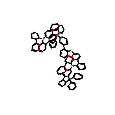 c1ccc(-c2ccccc2N(c2ccc3c(c2)C(c2ccccc2)(c2ccccc2)c2ccccc2-3)c2ccccc2-c2ccc3oc4c(-c5cccc(C6(c7ccccc7)c7ccccc7-c7ccc(N(c8ccccc8-c8ccccc8)c8ccccc8-c8ccc9sc%10ccccc%10c9c8)cc76)c5)cccc4c3c2)cc1